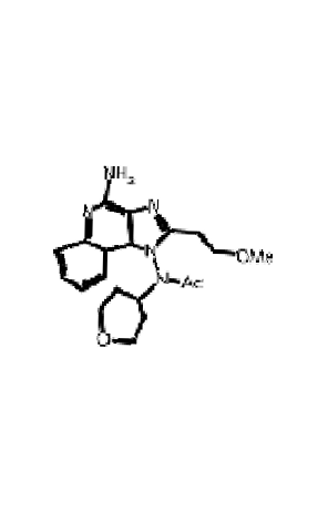 COCCC1=NC2=C(N)N=C3C=CC=CC3C2N1N(C(C)=O)C1CCOCC1